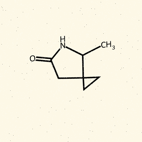 CC1NC(=O)CC12CC2